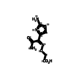 NC(=O)C(=NOCC(=O)O)c1csc(N)n1